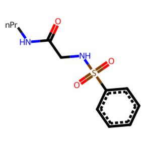 CCCNC(=O)CNS(=O)(=O)c1ccccc1